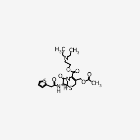 CCN(CC)CCOC(=O)C1=C(COC(C)=O)CS[C@@H]2[C@H](NC(=O)Cc3cccs3)C(=O)N12